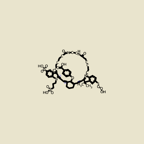 CC1(C)C2=[N+](CCCCCC(=O)NCCNC(=O)CCCCCC3(C)/C(=C/C=C4\CCCC(=C4Oc4ccc(C(=O)O)cc4)/C=C/2)N(CCCS(=O)(=O)O)c2ccc(S(=O)(=O)O)cc23)c2ccc(SOOO)cc21